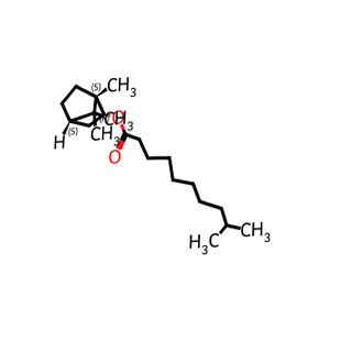 CC(C)CCCCCCCC(=O)O[C@@H]1C[C@@H]2CC[C@@]1(C)C2(C)C